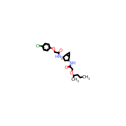 CCCC(C)OCC(=O)N[C@@H]1C[C@H](NC(=O)COc2ccc(Cl)cc2)C2CC21